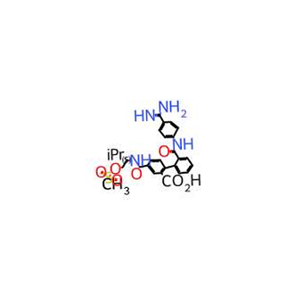 CC(C)[C@@H](COS(C)(=O)=O)NC(=O)c1ccc(-c2ccccc2C(=O)Nc2ccc(C(=N)N)cc2)c(C(=O)O)c1